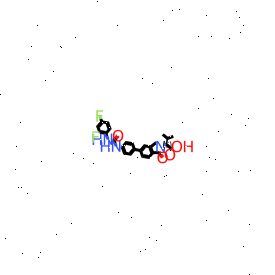 CC(C)[C@@H](C(=O)O)N1Cc2cc(-c3ccc(NC(=O)Nc4ccc(F)cc4F)cc3)ccc2C1=O